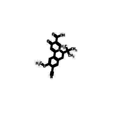 COc1cc2c(cc1C#N)CC(C(C)(C)C)n1cc(C(=O)O)c(=O)cc1-2